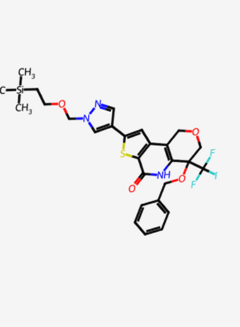 C[Si](C)(C)CCOCn1cc(-c2cc3c4c([nH]c(=O)c3s2)C(OCc2ccccc2)(C(F)(F)F)COC4)cn1